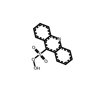 O=S(=O)(OO)c1c2ccccc2nc2ccccc12